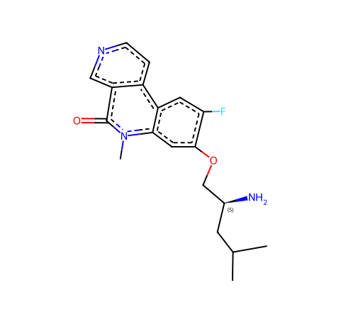 CC(C)C[C@H](N)COc1cc2c(cc1F)c1ccncc1c(=O)n2C